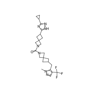 Cn1ncc(C(F)(F)F)c1CC1CC2(C1)CN(C(=O)N1CC3(CC(c4nc(C5CC5)n[nH]4)C3)C1)C2